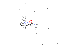 CCN(CC)c1ccc(/C=C/C2=[N+](Cc3cc(C)c(C)c(C)c3)c3ccccc3C2(C)CC)c(OC)c1